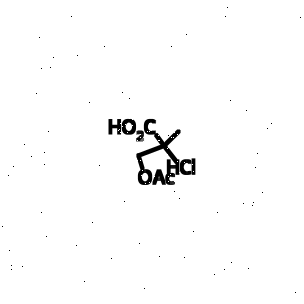 CC(=O)OCC(C)(C)C(=O)O.Cl